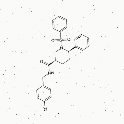 O=C(NCc1ccc(Cl)cc1)[C@@H]1CC[C@H](c2ccccc2)N(S(=O)(=O)c2ccccc2)C1